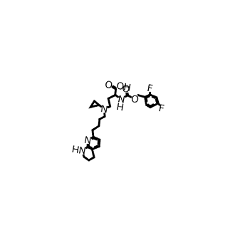 O=C(NC(CCN(CCCCc1ccc2c(n1)NCCC2)C1CC1)C(=O)O)OCc1ccc(F)cc1F